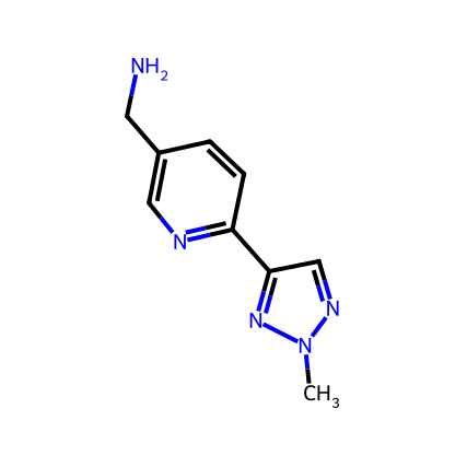 Cn1ncc(-c2ccc(CN)cn2)n1